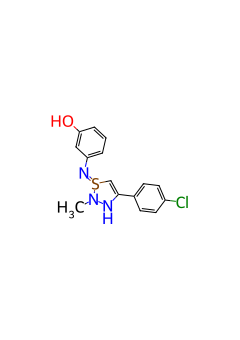 CN1NC(c2ccc(Cl)cc2)=CS1=Nc1cccc(O)c1